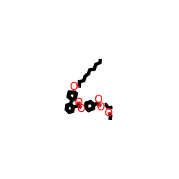 CCCCCCCCCCOc1ccc(-c2ccccc2C(=O)Oc2ccc(C(=O)OCC(C)OCC)cc2)cc1